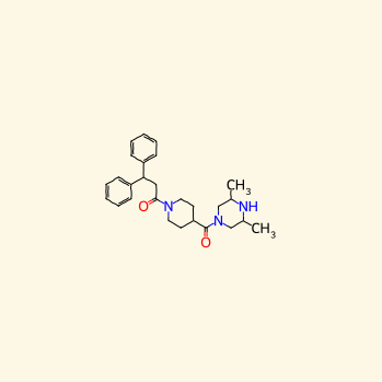 CC1CN(C(=O)C2CCN(C(=O)CC(c3ccccc3)c3ccccc3)CC2)CC(C)N1